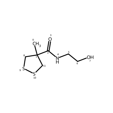 CC1(C(=O)NCCO)CSSC1